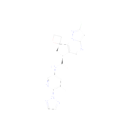 O=C(Nc1cnc(-n2nccn2)c(C(F)(F)F)c1)[C@H]1C[C@@]2(CCO2)c2c1cnc1cc(Cl)nn21